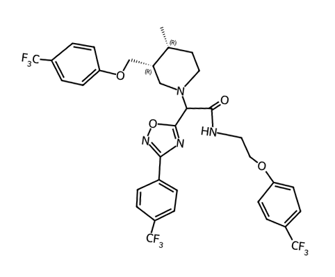 C[C@@H]1CCN(C(C(=O)NCCOc2ccc(C(F)(F)F)cc2)c2nc(-c3ccc(C(F)(F)F)cc3)no2)C[C@@H]1COc1ccc(C(F)(F)F)cc1